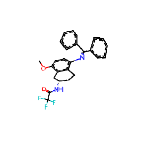 COc1ccc(N=C(c2ccccc2)c2ccccc2)c2c1C[C@@H](NC(=O)C(F)(F)F)CC2